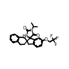 CC(C)N1C(=O)NC2(C1=O)c1cc(OCC(F)(F)F)ccc1CC21CCc2ccccc2CC1